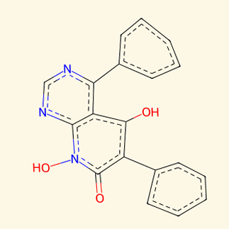 O=c1c(-c2ccccc2)c(O)c2c(-c3ccccc3)ncnc2n1O